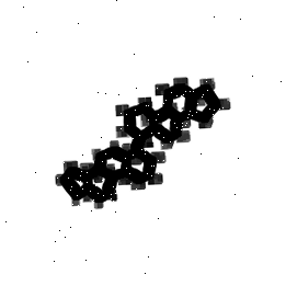 C1=Cc2ccc3c(ccc4c(=C5C=CCc6c5ccc5c7c(ccc65)C=CC7)cccc43)c2=C1